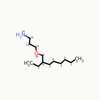 CCCCCCC(CC)COCCCN